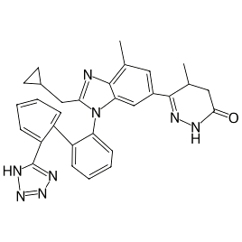 Cc1cc(C2=NNC(=O)CC2C)cc2c1nc(CC1CC1)n2-c1ccccc1-c1ccccc1-c1nnn[nH]1